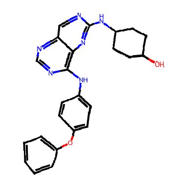 OC1CCC(Nc2ncc3ncnc(Nc4ccc(Oc5ccccc5)cc4)c3n2)CC1